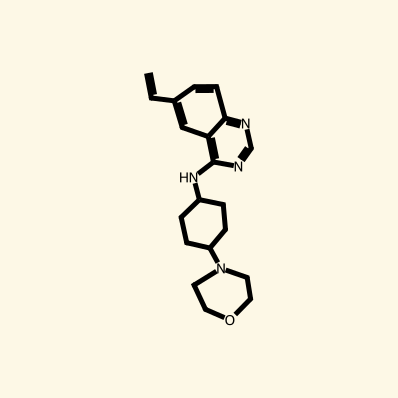 C=Cc1ccc2ncnc(NC3CCC(N4CCOCC4)CC3)c2c1